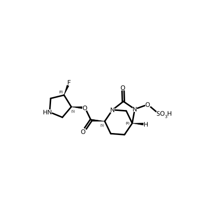 O=C(O[C@H]1CNC[C@H]1F)[C@@H]1CC[C@@H]2CN1C(=O)N2OS(=O)(=O)O